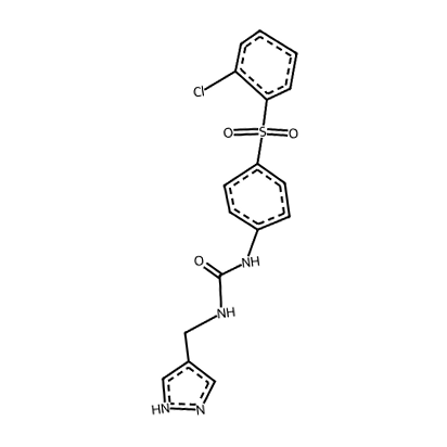 O=C(NCc1cn[nH]c1)Nc1ccc(S(=O)(=O)c2ccccc2Cl)cc1